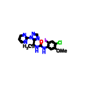 COc1cc(NC(=O)N[C@@H](C)c2ncnn2-c2ncccn2)c(I)cc1Cl